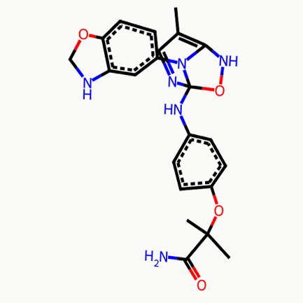 CC1=C2NOC(Nc3ccc(OC(C)(C)C(N)=O)cc3)(N=C1)N2c1ccc2c(c1)NCO2